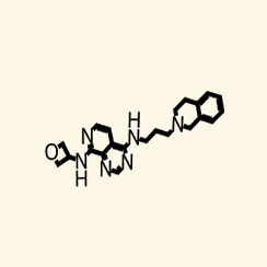 c1ccc2c(c1)CCN(CCCNc1ncnc3c(NC4COC4)nccc13)C2